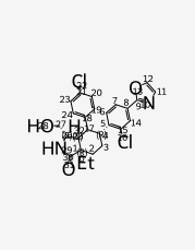 CC[C@@]12CC[C@@H](c3ccc(-c4ncco4)cc3Cl)C(c3ccc(Cl)cc3)[C@@H]1[C@@H](CO)NC2=O